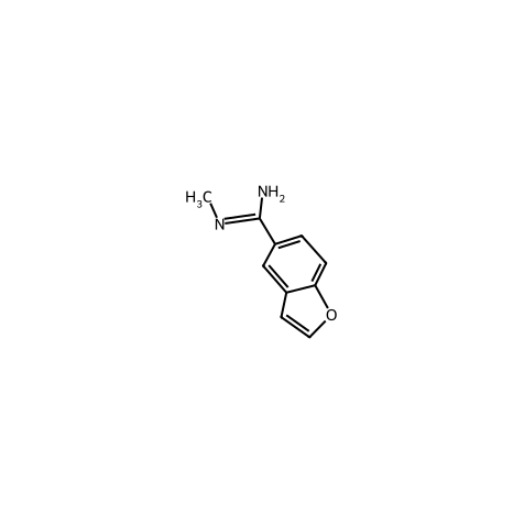 CN=C(N)c1ccc2occc2c1